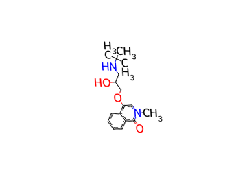 Cn1cc(OCC(O)CNC(C)(C)C)c2ccccc2c1=O